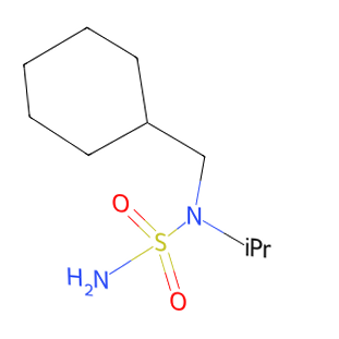 CC(C)N(CC1CCCCC1)S(N)(=O)=O